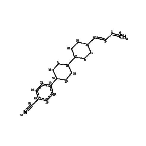 C=CC=CC1CCC(C2CCC(c3ccc(C#N)cc3)CC2)CC1